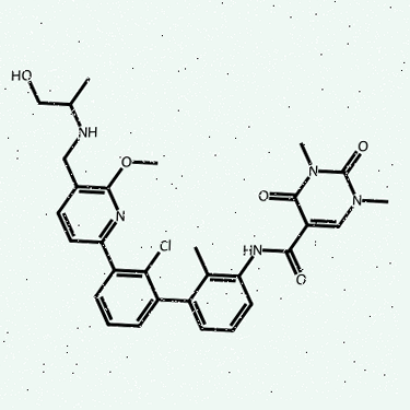 COc1nc(-c2cccc(-c3cccc(NC(=O)c4cn(C)c(=O)n(C)c4=O)c3C)c2Cl)ccc1CNC(C)CO